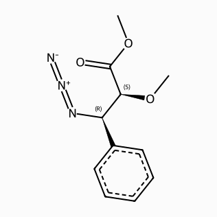 COC(=O)[C@@H](OC)[C@H](N=[N+]=[N-])c1ccccc1